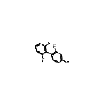 Fc1ccc(-c2c(F)[c]ccc2F)c(F)c1